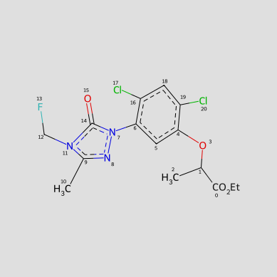 CCOC(=O)C(C)Oc1cc(-n2nc(C)n(CF)c2=O)c(Cl)cc1Cl